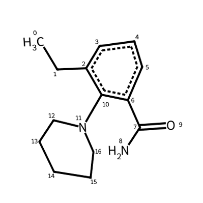 CCc1cccc(C(N)=O)c1N1CCCCC1